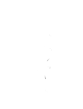 COC(=O)[C@H](CC(C)C)NC(=O)[C@@H]1CCCN1C(=O)[C@@H](N)Cc1ccccc1